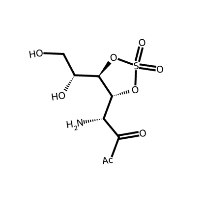 CC(=O)C(=O)[C@H](N)[C@H]1OS(=O)(=O)O[C@@H]1[C@H](O)CO